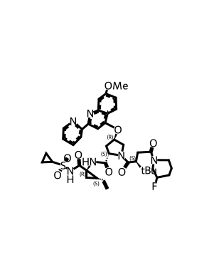 C=C[C@@H]1C[C@]1(NC(=O)[C@@H]1C[C@@H](Oc2cc(-c3ccccn3)nc3cc(OC)ccc23)CN1C(=O)[C@@H](CC(=O)N1CCCC(F)C1)C(C)(C)C)C(=O)NS(=O)(=O)C1CC1